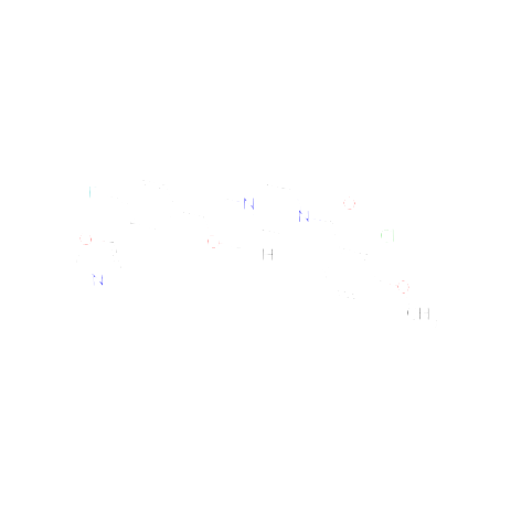 COc1cccc(C(=O)N2CCN3CC(c4ccc(F)c(-c5cnco5)c4)OC[C@@H]3C2)c1Cl